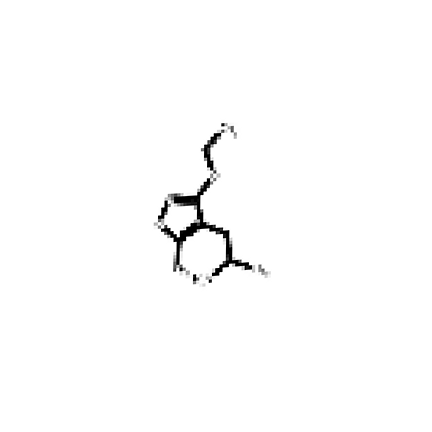 CCOc1noc(C)c1CC(C)N